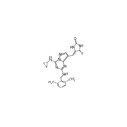 Cc1cccc(C)c1CNc1nc(NC2CC2)n2ncc(/C=C3\NC(=O)NC3=O)c2n1